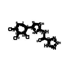 O=C(Nc1nc(-c2ccc(Cl)c(Cl)c2Cl)cs1)c1nnn[nH]1